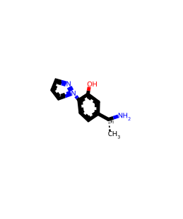 C[C@@H](N)c1ccc(-n2cccn2)c(O)c1